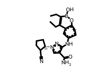 CCC1=C(CC)c2cc(Nc3nn([C@H]4CCCC4C#N)cc3C(N)=O)ccc2OB1O